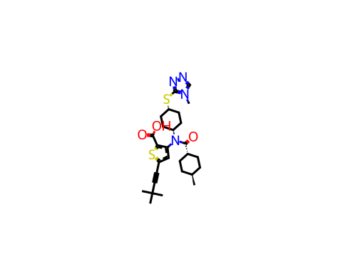 Cn1cnnc1S[C@H]1CC[C@@H](N(c2cc(C#CC(C)(C)C)sc2C(=O)O)C(=O)[C@H]2CC[C@H](C)CC2)CC1